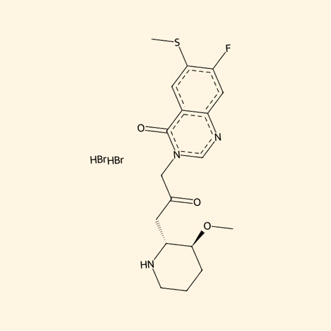 Br.Br.CO[C@H]1CCCN[C@@H]1CC(=O)Cn1cnc2cc(F)c(SC)cc2c1=O